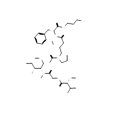 CC[C@H](C)[C@@H]([C@@H](CC(=O)N1CCC[C@H]1[C@H](OC)[C@@H](C)C(=O)N[C@@H](Cc1ccccc1)C(=O)NCCCO)OC)N(C)C(=O)CNC(=O)[C@@H](NC)C(C)C